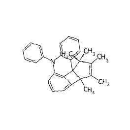 CC1=C(C)C2(C)c3cccc4c3C2(c2ccccc2N4c2ccccc2)C1(C)C